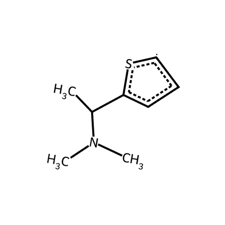 CC(c1cc[c]s1)N(C)C